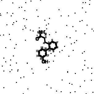 NC(=O)CCc1c[c]ccc1-c1cccc(O)c1